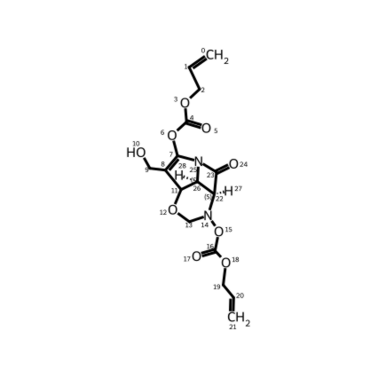 C=CCOC(=O)OC1=C(CO)C2OCN(OC(=O)OCC=C)[C@@H]3C(=O)N1[C@H]23